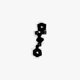 O=C(Nc1ccccn1)C1CC(OCc2ccccc2)C1